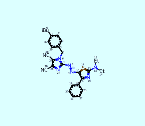 CCC(C)c1ccc(Cn2c(/N=N/c3sc(N(CC)CC)nc3-c3ccccc3)nc(C#N)c2C#N)cc1